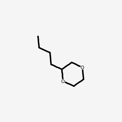 CCCCC1COCCO1